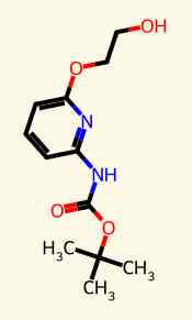 CC(C)(C)OC(=O)Nc1cccc(OCCO)n1